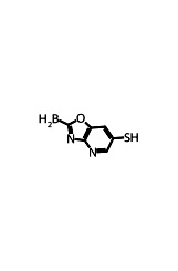 Bc1nc2ncc(S)cc2o1